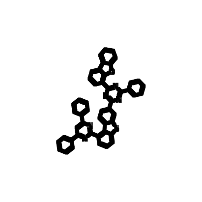 c1ccc(-c2cc(-c3ccccc3)nc(-c3cccc4sc5cc(-c6nc(-c7ccccc7)nc(-c7cccc8c7oc7ccccc78)n6)ccc5c34)n2)cc1